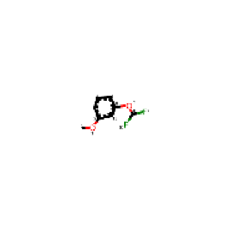 COc1cc[c]c(OC(F)F)c1